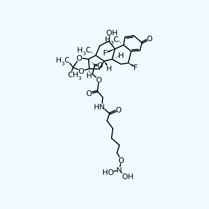 CC1(C)O[C@@H]2C[C@H]3[C@@H]4C[C@H](F)C5=CC(=O)C=C[C@]5(C)[C@@]4(F)[C@@H](O)C[C@]3(C)[C@]2(C(=O)COC(=O)CNC(=O)CCCCCON(O)O)O1